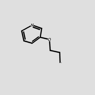 [CH2]CCOc1cccnc1